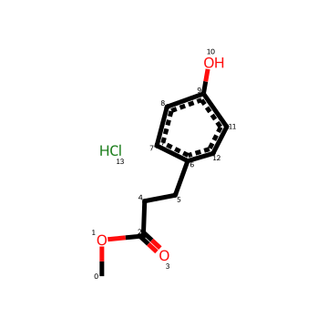 COC(=O)CCc1ccc(O)cc1.Cl